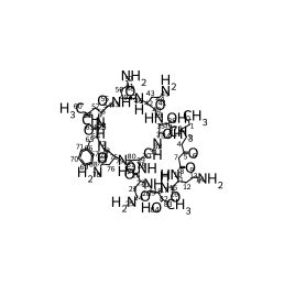 CCCCCC(=O)CC(=O)N[C@@H](CCN)C(=O)N[C@H](C(=O)N[C@@H](CCN)C(=O)N[C@H]1CCNC(O)[C@H]([C@@H](C)O)NC(=O)[C@H](CCN)NC(=O)[C@H](CCN)NC(=O)[C@H](CC(C)C)NC(=O)[C@@H](Cc2ccccc2)NC(=O)C(CCN)NC1=O)C(C)O